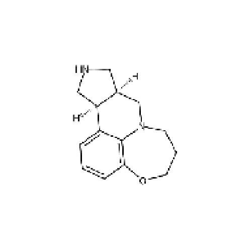 c1cc2c3c(c1)[C@H]1CNC[C@H]1CN3CCCO2